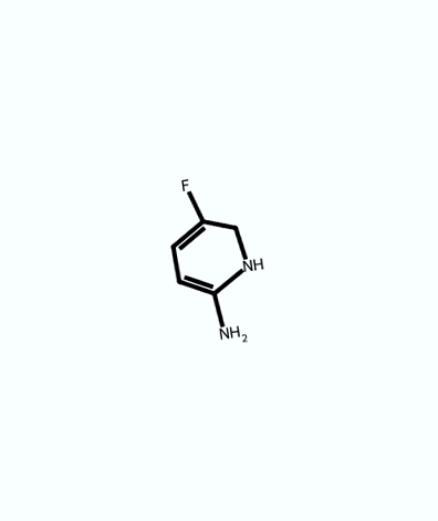 NC1=CC=C(F)CN1